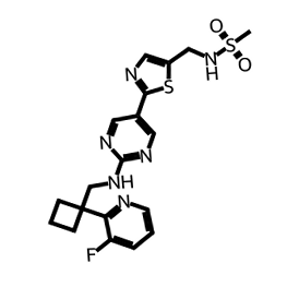 CS(=O)(=O)NCc1cnc(-c2cnc(NCC3(c4ncccc4F)CCC3)nc2)s1